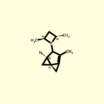 CC1=C2C[C@]23C[C@H]3C1P1[C@@H](C)C[C@@H]1C